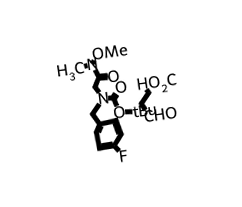 CON(C)C(=O)CN(Cc1ccc(F)cc1)C(=O)OC(C)(C)C.O=CCCC(=O)O